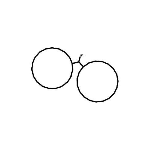 CC(C)C(C1CCCCCCCCCCCCCCCCCC1)C1CCCCCCCCCCCCCCCCCC1